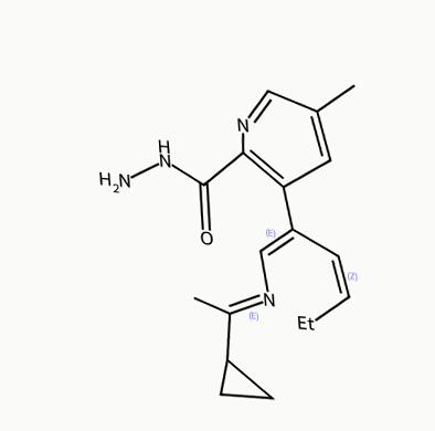 CC\C=C/C(=C\N=C(/C)C1CC1)c1cc(C)cnc1C(=O)NN